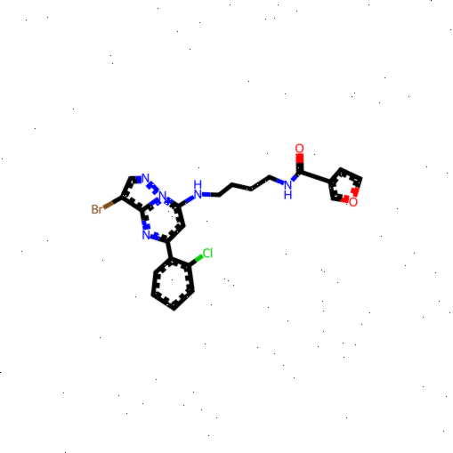 O=C(NCCCCNc1cc(-c2ccccc2Cl)nc2c(Br)cnn12)c1ccoc1